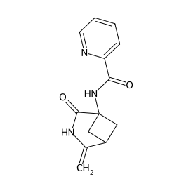 C=C1NC(=O)C2(NC(=O)c3ccccn3)CC1C2